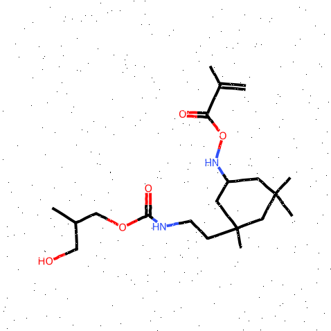 C=C(C)C(=O)ONC1CC(C)(C)CC(C)(CCNC(=O)OCC(C)CO)C1